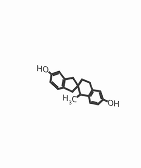 CC1c2ccc(O)cc2CCC12Cc1ccc(O)cc1C2